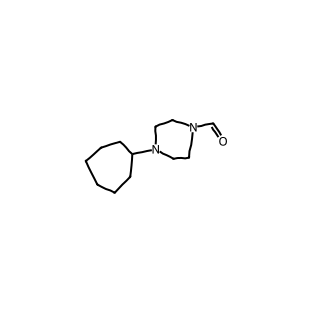 O=CN1CCN(C2CCCCCC2)CC1